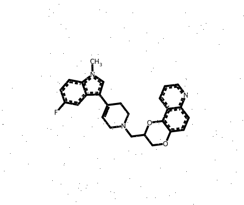 Cn1cc(C2=CCN(CC3COc4ccc5ncccc5c4O3)CC2)c2cc(F)ccc21